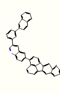 c1cc(-c2ccc3ccccc3c2)cc(-c2cnc3ccc(-c4ccc5c6c(cccc46)-c4cc6ccccc6cc4-5)cc3c2)c1